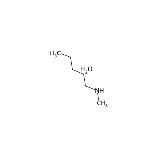 CCCCCNC.O